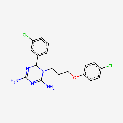 NC1=NC(c2cccc(Cl)c2)N(CCCOc2ccc(Cl)cc2)C(N)=N1